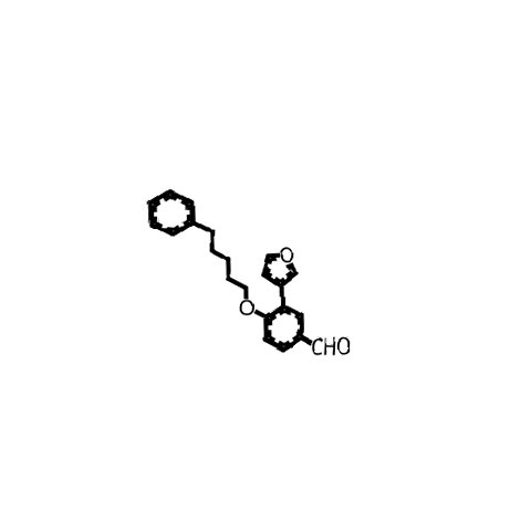 O=Cc1ccc(OCCCCCc2ccccc2)c(-c2ccoc2)c1